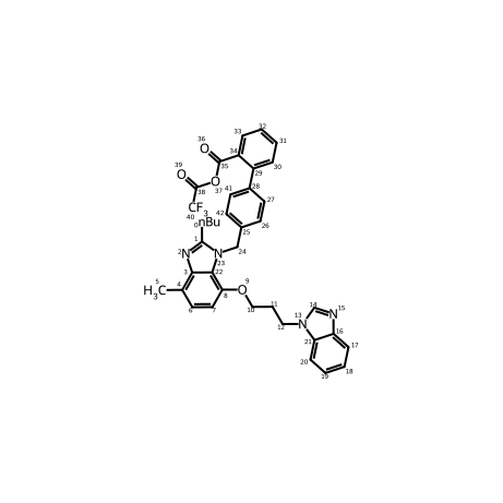 CCCCc1nc2c(C)ccc(OCCCn3cnc4ccccc43)c2n1Cc1ccc(-c2ccccc2C(=O)OC(=O)C(F)(F)F)cc1